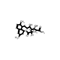 CCC(C)(C)C(=O)OC1CC(C)C=C2C=CC(C)C(CC[C@@H](O)C[C@@H](O)CC(N)=O)C21